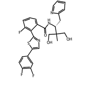 CC(CO)(CO)[C@@H](Cc1ccccn1)NC(=O)c1cccc(F)c1-c1ncc(-c2ccc(F)c(F)c2)s1